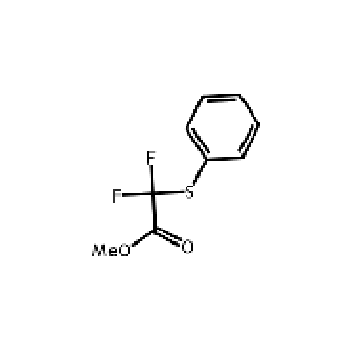 COC(=O)C(F)(F)Sc1ccccc1